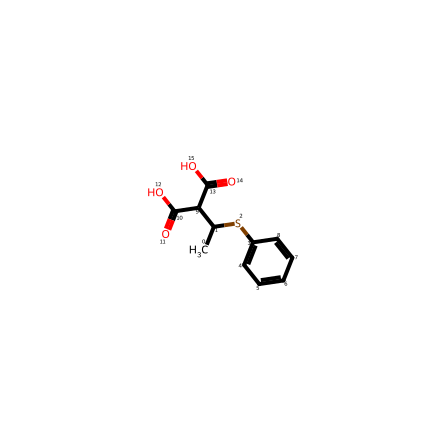 CC(Sc1ccccc1)C(C(=O)O)C(=O)O